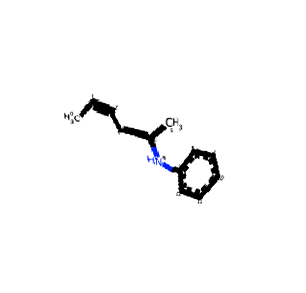 C/C=C\C=C(/C)Nc1ccccc1